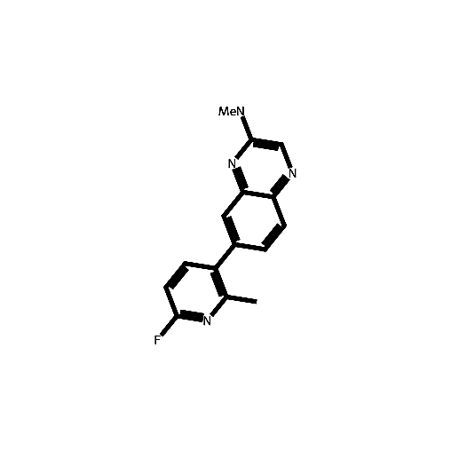 CNc1cnc2ccc(-c3ccc(F)nc3C)cc2n1